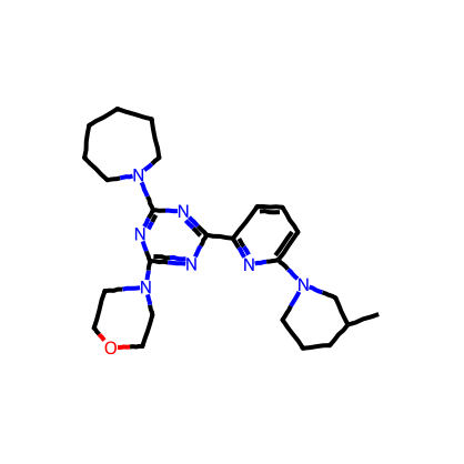 CC1CCCN(c2cccc(-c3nc(N4CCCCCC4)nc(N4CCOCC4)n3)n2)C1